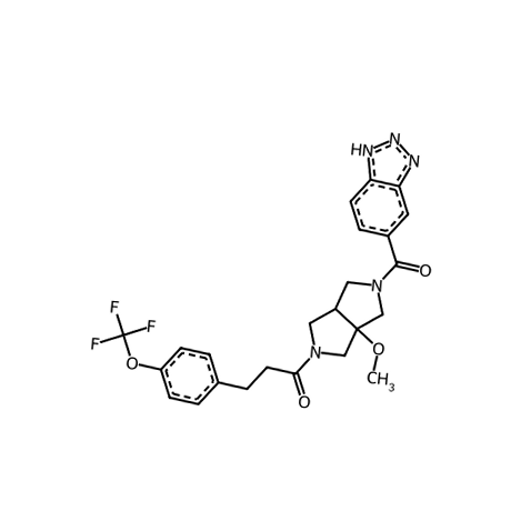 COC12CN(C(=O)CCc3ccc(OC(F)(F)F)cc3)CC1CN(C(=O)c1ccc3[nH]nnc3c1)C2